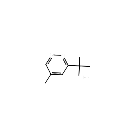 CCCCCCC(C)(CC)c1cc(C)cnn1